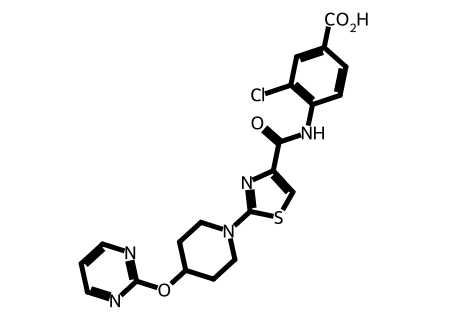 O=C(O)c1ccc(NC(=O)c2csc(N3CCC(Oc4ncccn4)CC3)n2)c(Cl)c1